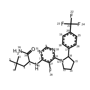 CC(C)(C)CC(Nc1ncnc(N2CCCC2c2ccc(C(F)(F)F)cc2)c1F)C(N)=O